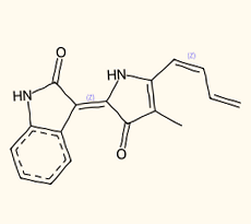 C=C/C=C\C1=C(C)C(=O)/C(=C2/C(=O)Nc3ccccc32)N1